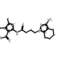 Cc1sc(NC(=O)CCCn2nc(C(F)(F)F)c3c2CCCC3)c(C(N)=O)c1C